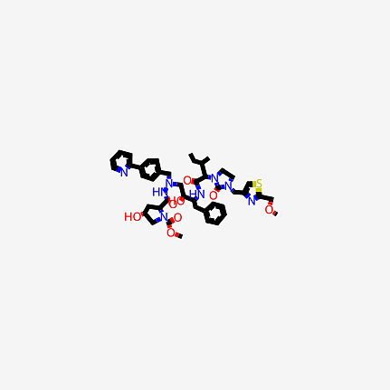 CCC(C)C(C(=O)NC(Cc1ccccc1)C(O)CN(Cc1ccc(-c2ccccn2)cc1)NC(=O)C1CC(O)CN1C(=O)OC)N1CCN(Cc2csc(COC)n2)C1=O